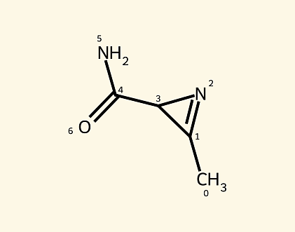 CC1=NC1C(N)=O